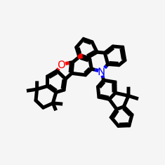 CC1(C)CCC(C)(C)c2cc3c(cc21)oc1ccc(N(c2ccc4c(c2)C(C)(C)c2ccccc2-4)c2ccccc2-c2ccccc2)cc13